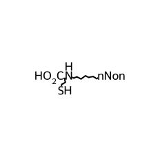 CCCCCCCCCCCCCCCCNC(CCS)C(=O)O